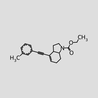 CCOC(=O)N1CCC2C(C#Cc3cccc(C)c3)=CCCC21